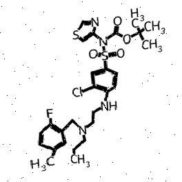 CCCN(CCNc1ccc(S(=O)(=O)N(C(=O)OC(C)(C)C)c2cscn2)cc1Cl)Cc1cc(C)ccc1F